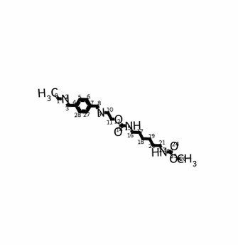 CC/N=C/c1ccc(/C=N/CCOC(=O)NCCCCCCNC(=O)OC)cc1